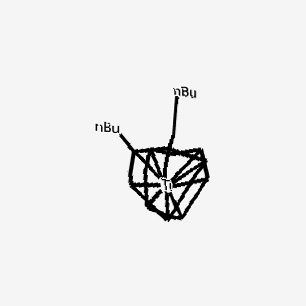 CCCC[C]12[CH]3[CH]4[CH]5[C]1(CCCC)[Ti]43521678[CH]2[CH]1[CH]6[CH]7[CH]28